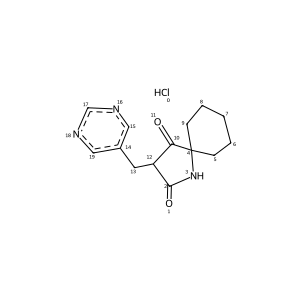 Cl.O=C1NC2(CCCCC2)C(=O)C1Cc1cncnc1